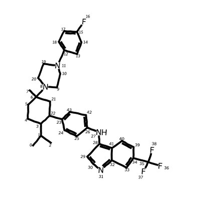 CC(C)C1CCC(C)(N2CCN(c3ccc(F)cc3)CC2)CC1c1ccc(Nc2ccnc3cc(C(F)(F)F)ccc23)cc1